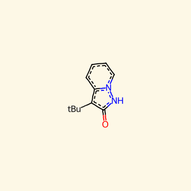 CC(C)(C)c1c(=O)[nH]n2ccccc12